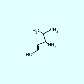 CC(C)C(N)C=CO